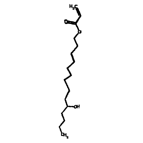 C=CC(=O)OCCCCCCCCCC(O)CCCC